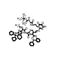 CO/N=C(/C(=O)NC1C(=O)N2C(C(=O)OC(c3ccccc3)c3ccccc3)=C(/C=C/Sc3n[nH]c(=O)c(=O)n3CCNC(=O)CNC(=O)OC(C)(C)C)CSC12)c1csc(NC(c2ccccc2)(c2ccccc2)c2ccccc2)n1